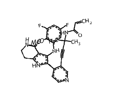 C=CC(=O)NC(C)(C)C#Cc1cnccc1-c1[nH]c2c(c1Nc1cc(F)cc(F)c1OC)C(=O)NCC2